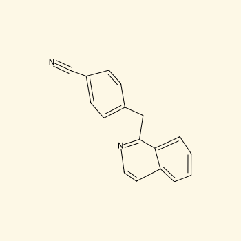 N#Cc1ccc(Cc2nccc3ccccc23)cc1